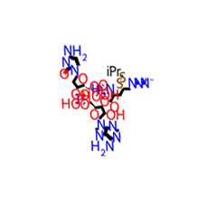 CC(C)SSC(CN=[N+]=[N-])C[C@@H](N)C(=O)O[C@@H]1[C@H](COP(=O)(O)O[C@H]2CC(n3ccc(N)nc3=O)O[C@@H]2COP(=O)(O)O)OC(n2cnc3c(N)ncnc32)[C@@H]1O